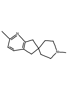 Cc1ccc2c(n1)CC1(CCN(C)CC1)C2